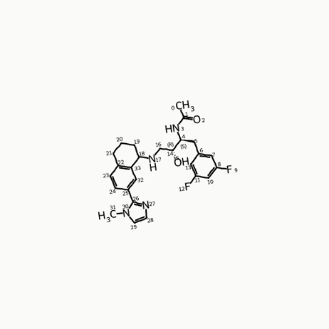 CC(=O)N[C@@H](Cc1cc(F)cc(F)c1)[C@H](O)CNC1CCCc2ccc(-c3nccn3C)cc21